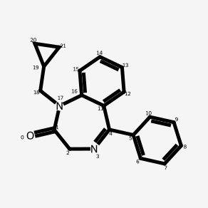 O=C1CN=C(c2ccccc2)c2ccccc2N1CC1CC1